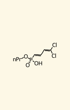 CCCOP(=O)(O)C=CC=C(Cl)Cl